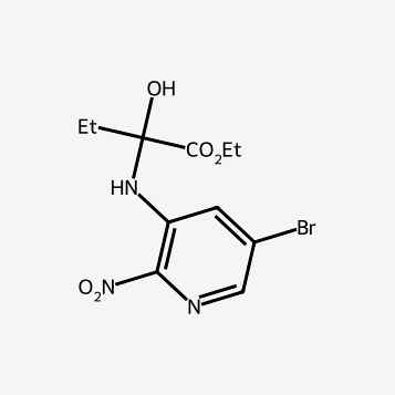 CCOC(=O)C(O)(CC)Nc1cc(Br)cnc1[N+](=O)[O-]